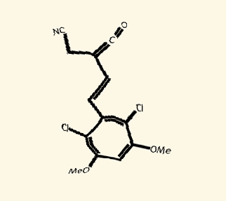 COc1cc(OC)c(Cl)c(C=CC(=C=O)CC#N)c1Cl